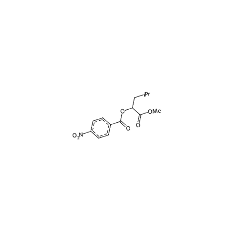 COC(=O)C(CC(C)C)OC(=O)c1ccc([N+](=O)[O-])cc1